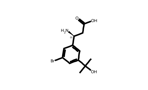 CC(C)(O)c1cc(Br)cc([C@@H](N)CC(=O)O)c1